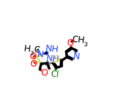 COc1cncc(-c2cc(Cl)c([C@]34COCC3S(=O)(=O)N(C)C(=N)N4)s2)c1